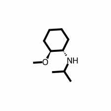 CO[C@H]1CCCC[C@@H]1NC(C)C